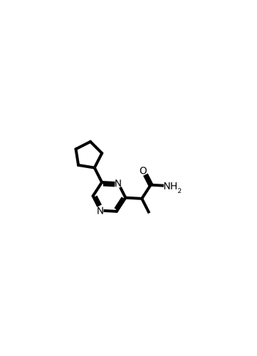 CC(C(N)=O)c1cncc(C2CCCC2)n1